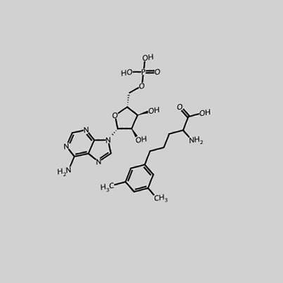 Cc1cc(C)cc(CCCC(N)C(=O)O)c1.Nc1ncnc2c1ncn2[C@@H]1O[C@H](COP(=O)(O)O)[C@@H](O)[C@H]1O